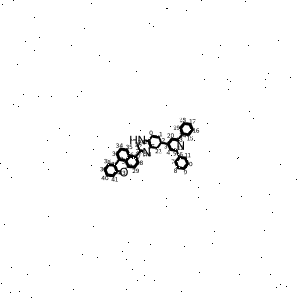 C1=CC(c2cc(-c3ccccc3)nc(-c3ccccc3)c2)CC2=C1NCC(c1ccc3c4c(cccc14)-c1ccccc1O3)=N2